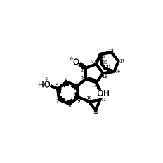 O=C1C(c2cc(O)ccc2C2CC2)=C(O)C2C3CCC(CC3)C12